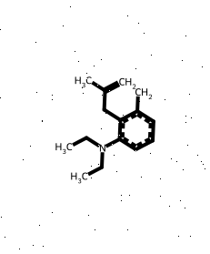 [CH2]c1cccc(N(CC)CC)c1CC(=C)C